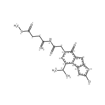 C=C(CCC(=O)OC)NC(=O)Cn1nc(C(C)C)n2c(cc3sc(Cl)cc32)c1=O